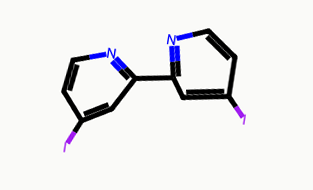 Ic1ccnc(-c2cc(I)ccn2)c1